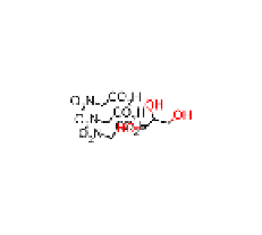 O=C(O)C[N+](=O)[O-].O=C(O)C[N+](=O)[O-].O=C(O)C[N+](=O)[O-].OCC(O)CO